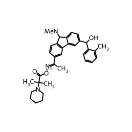 CNC1c2ccc(/C(C)=N/OC(=O)C(C)(C)N3CCCCC3)cc2-c2cc(C(O)c3ccccc3C)ccc21